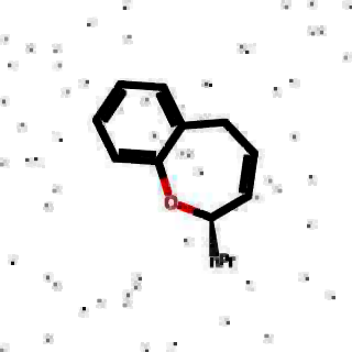 CCC[C@@H]1C=CCc2ccccc2O1